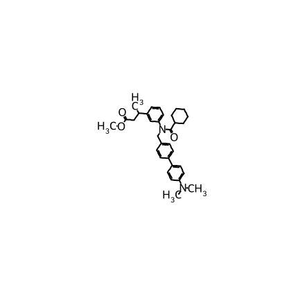 COC(=O)CC(C)c1cccc(N(Cc2ccc(-c3ccc(N(C)C)cc3)cc2)C(=O)C2CCCCC2)c1